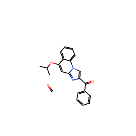 C=O.CC(C)Oc1cc2nc(C(=O)c3ccccc3)cn2c2ccccc12